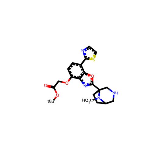 CC(C)(C)OC(=O)COc1ccc(-c2nccs2)c2oc(C34CCC(CNC3)N4C(=O)O)nc12